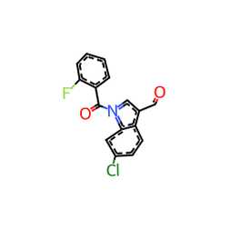 O=Cc1cn(C(=O)c2ccccc2F)c2cc(Cl)ccc12